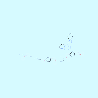 C=CC(=O)OCCCCCCOc1ccc(OC(=O)[C@H]2CC[C@H](C(=O)Oc3ccc(OC=O)cc3/C=N/N(c3ccccn3)c3nc4ccccc4s3)CC2)cc1